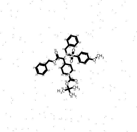 COc1ccc(S(=O)(=O)N(Cc2ccccc2)[C@@H](C(=O)OCc2ccccc2)C2CCN(C(=O)OC(C)(C)C)CC2)cc1